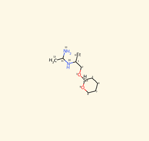 CCC(CO[SiH]1CCCCO1)NC(C)N